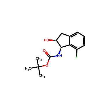 CC(C)(C)OC(=O)N[C@@H]1c2c(F)cccc2C[C@@H]1O